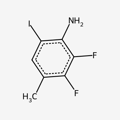 Cc1cc(I)c(N)c(F)c1F